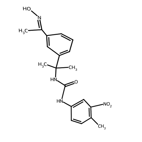 C/C(=N\O)c1cccc(C(C)(C)NC(=O)Nc2ccc(C)c([N+](=O)[O-])c2)c1